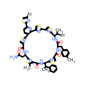 CC(=O)c1csc(-c2ccc3c(n2)-c2csc(n2)-c2csc(n2)C(C(C)C(C)C)NC(=O)C(Cc2ccc(C)cc2)NC(=O)c2csc(n2)C(C(C)c2ccccc2)NC(=O)c2nc(sc2C)C(CC(N)=O)NC(=O)c2csc-3n2)n1